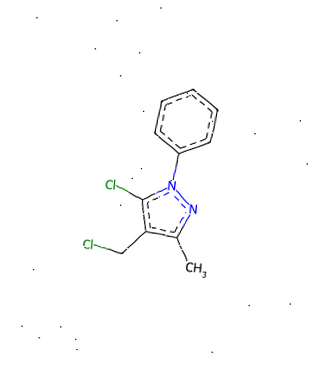 Cc1nn(-c2ccccc2)c(Cl)c1CCl